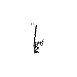 CCCCCCCCCCCCCC(=S)Cc1nc2cc(S(=O)(=O)[O-])ccc2n1CCS(=O)(=O)[O-].[K+].[K+]